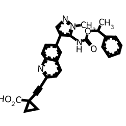 CC(OC(=O)Nc1c(-c2ccc3nc(C#CC4(C(=O)O)CC4)ccc3c2)cnn1C)c1ccccc1